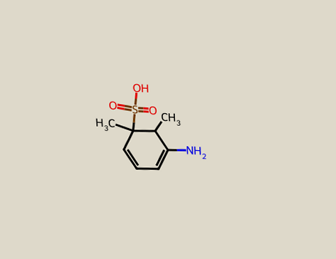 CC1C(N)=CC=CC1(C)S(=O)(=O)O